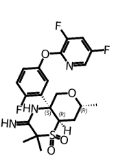 C[C@@H]1C[C@@H]2[C@](c3cc(Oc4ncc(F)cc4F)ccc3F)(CO1)NC(=N)C(C)(C)S2(=O)=O